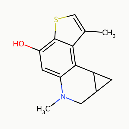 Cc1csc2c(O)cc3c(c12)C1CC1CN3C